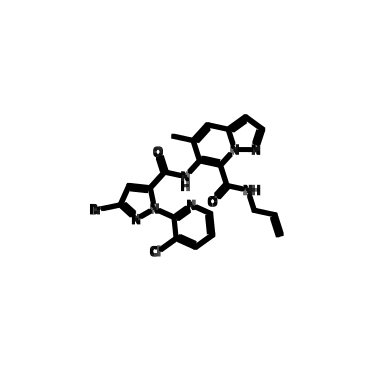 C=CCNC(=O)c1c(NC(=O)c2cc(Br)nn2-c2ncccc2Cl)c(C)cc2ccnn12